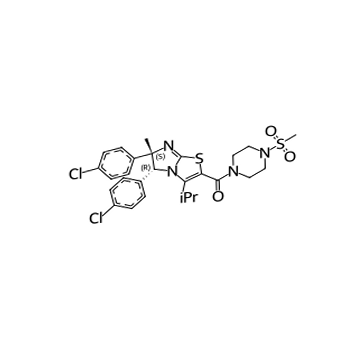 CC(C)C1=C(C(=O)N2CCN(S(C)(=O)=O)CC2)SC2=N[C@@](C)(c3ccc(Cl)cc3)[C@@H](c3ccc(Cl)cc3)N21